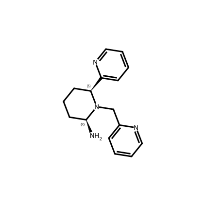 N[C@H]1CCC[C@@H](c2ccccn2)N1Cc1ccccn1